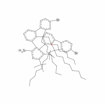 CCCCCCCCC1(CCCCCCCC)c2cc(Br)ccc2-c2cccc(-c3c([SiH3])cc(C(C)(C)C)c(C(C)(C)C)c3-c3cccc4c3C(CCCCCCCC)(CCCCCCCC)c3cc(Br)ccc3-4)c21